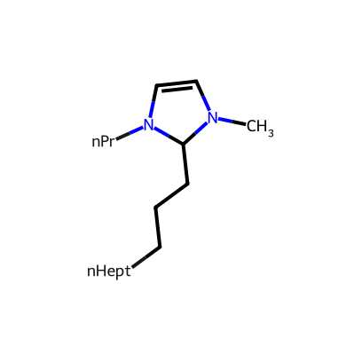 CCCCCCCCCCC1N(C)C=CN1CCC